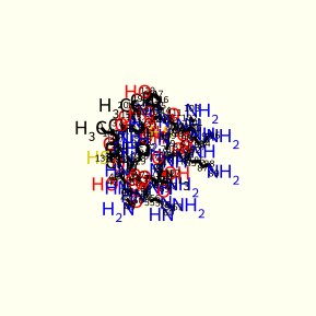 CC[C@H](C)[C@H](NC(=O)[C@@H]1C[C@@H](O)CN1C(=O)[C@@H](N)C(C)C)C(=O)N[C@H](C(=O)N[C@@H](Cc1ccc(O)cc1)C(=O)N[C@@H](CO)C(=O)N[C@@H](CC(N)=O)C(=O)N[C@@H](CCCNC(=N)N)C(=O)N[C@@H](CC(N)=O)C(=O)N[C@H](C(=O)N[C@H](CCN)C(=O)N[C@@H](CCCCN)C(=O)N[C@@H](CCN)C(=O)N[C@@H](CCN)C(=O)N[C@@H](CS)C(=O)N[C@@H](Cc1ccc(O)cc1)C(=O)O)[C@@H](C)O)C(C)(C)S